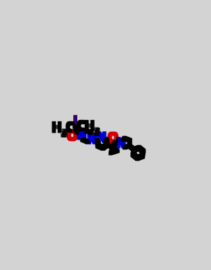 CC(C)(I)C(=O)N1CCN(c2ccc(C3(C(=O)N4CCC(c5ccccc5)C4)CC3)cn2)CC1